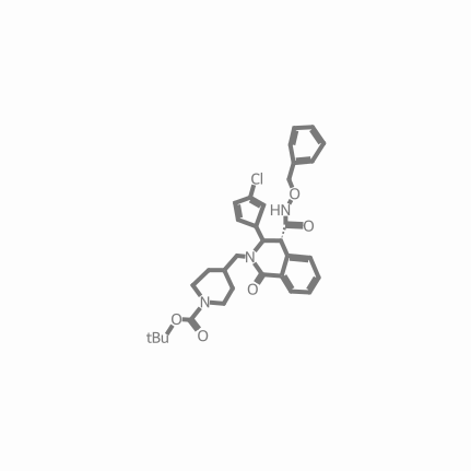 CC(C)(C)OC(=O)N1CCC(CN2C(=O)c3ccccc3[C@@H](C(=O)NOCc3ccccc3)C2C2C=CC(Cl)=C2)CC1